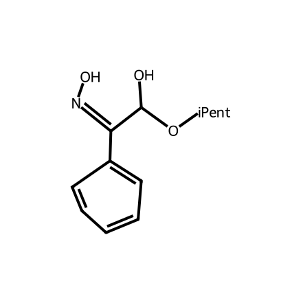 CCCC(C)OC(O)C(=NO)c1ccccc1